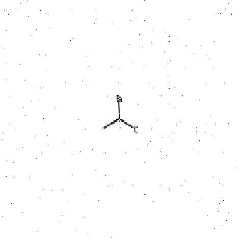 Cl[C](Br)I